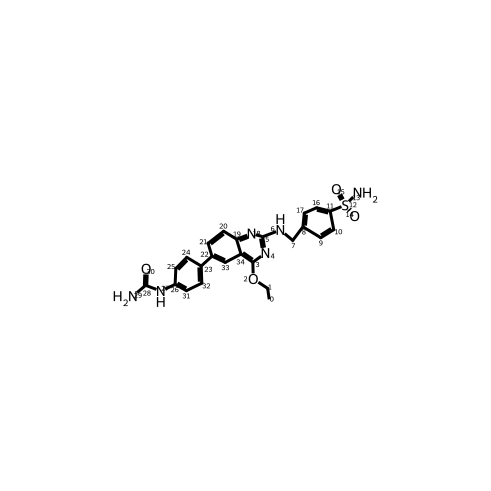 CCOc1nc(NCc2ccc(S(N)(=O)=O)cc2)nc2ccc(-c3ccc(NC(N)=O)cc3)cc12